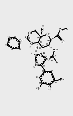 COC(=O)[C@@H]1O[C@@H]2CO[C@@H](c3ccccc3)O[C@@H]2[C@@H](n2cc(-c3cc(F)c(F)c(F)c3)nn2)[C@H]1OC(C)=O